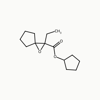 CCC1(C(=O)OC2CCCC2)OC12CCCC2